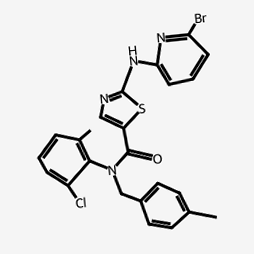 Cc1ccc(CN(C(=O)c2cnc(Nc3cccc(Br)n3)s2)c2c(C)cccc2Cl)cc1